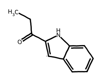 CCC(=O)c1[c]c2ccccc2[nH]1